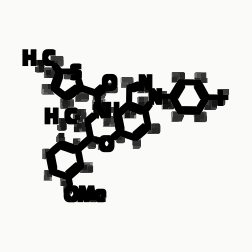 COc1cccc([C@H](Oc2ccc3c(cnn3-c3ccc(F)cc3)c2)[C@H](C)NC(=O)c2ccc(C)s2)c1